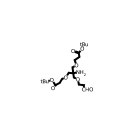 CC(C)(C)OC(=O)CCOCC(N)(COCCC=O)COCCC(=O)OC(C)(C)C